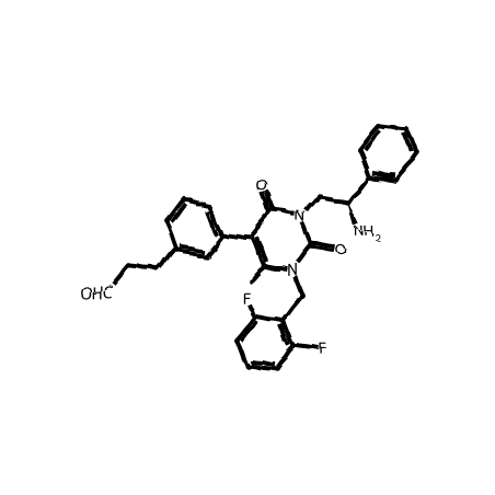 Cc1c(-c2cccc(CCC=O)c2)c(=O)n(C[C@H](N)c2ccccc2)c(=O)n1Cc1c(F)cccc1F